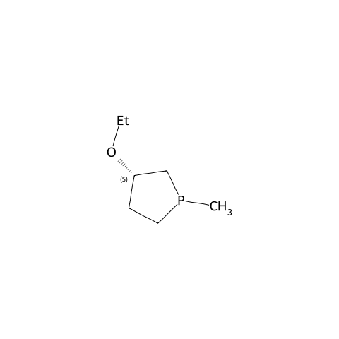 CCO[C@H]1CCP(C)C1